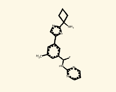 Cc1cc(-c2cnc(C3(N)CCC3)s2)cc(C(F)Nc2ncccn2)c1